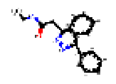 CCNC(=O)Cc1nnc(-c2ccccc2)c2ccccc12